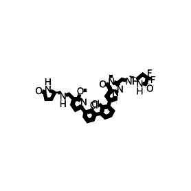 COc1nc(-c2cccc(-c3cccc(-c4cc5c(=O)n(C)c(CNC[C@@H]6CC(F)(F)C(=O)N6)nn5c4)c3Cl)c2Cl)ccc1CNC[C@H]1CCC(=O)N1